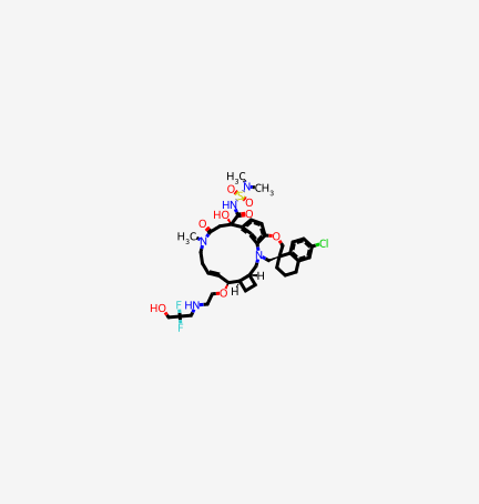 CN1CC/C=C/[C@H](OCCNCC(F)(F)CO)[C@@H]2CC[C@H]2CN2C[C@@]3(CCCc4cc(Cl)ccc43)COc3ccc(cc32)[C@@](O)(C(=O)NS(=O)(=O)N(C)C)CC1=O